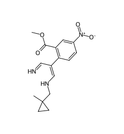 COC(=O)c1cc([N+](=O)[O-])ccc1/C(C=N)=C/NCC1(C)CC1